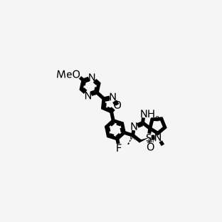 CN=[S@@]1(=O)C[C@@](C)(c2cc(-c3cc(-c4cnc(OC)cn4)no3)ccc2F)N=C(N)C12CCCC2